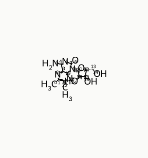 Cc1nc2c(N)nc(=O)n([C@@H]3O[C@H](CO)[C@@H](O)[C@H]3O)c2nc1C